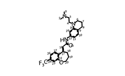 CN(C)CCN1CCCc2ccc(NC(=O)C=C3CCCOc4cc(C(F)(F)F)ccc43)cc21